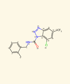 Cc1ccccc1CNC(=O)n1nnc2cc(C(F)(F)F)cc(Cl)c21